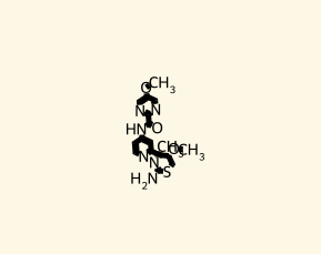 COc1cnc(C(=O)Nc2ccnc([C@@]3(C)N=C(N)SCC3OC)c2)nc1